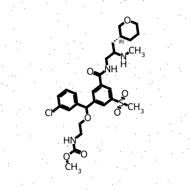 CNC(CNC(=O)c1cc(C(OCCNC(=O)OC)c2cccc(Cl)c2)cc(S(C)(=O)=O)c1)C[C@H]1CCCOC1